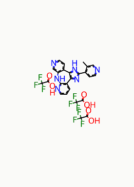 Cc1cnccc1-c1nc2c([nH]1)-c1ccncc1Nc1ncccc1-2.O=C(O)C(F)(F)F.O=C(O)C(F)(F)F.O=C(O)C(F)(F)F